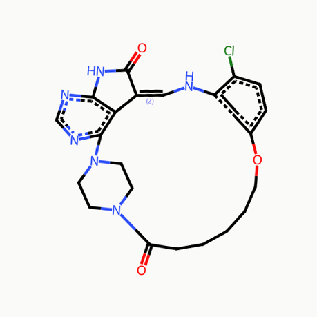 O=C1Nc2ncnc3c2/C1=C/Nc1cc(ccc1Cl)OCCCCCC(=O)N1CCN3CC1